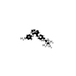 CC(C)(C)OC(=O)NCC1CCN(Cc2ccn3ncnc(Oc4ccc(N)cc4F)c23)CC1